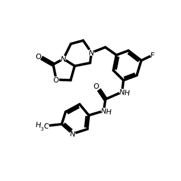 Cc1ccc(NC(=O)Nc2cc(F)cc(CN3CCN4C(=O)OCC4C3)c2)cn1